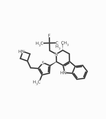 Cc1cc([C@@H]2c3[nH]c4ccccc4c3C[C@@H](C)N2CC(C)(C)F)sc1CC1CNC1